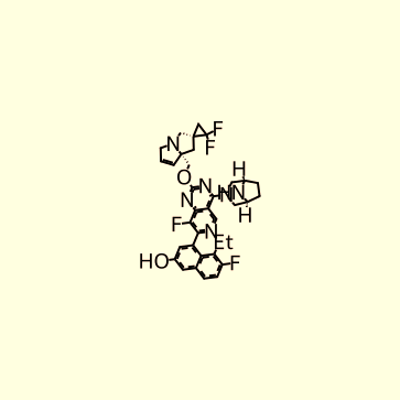 CCc1c(F)ccc2cc(O)cc(-c3ncc4c(N5C[C@@H]6CC[C@@H](C5)N6)nc(OC[C@]56C=CCN5C[C@@]5(CC5(F)F)C6)nc4c3F)c12